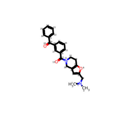 CN(C)Cc1cc2c(o1)CCN(C(=O)c1cccc(C(=O)c3ccccc3)c1)C2